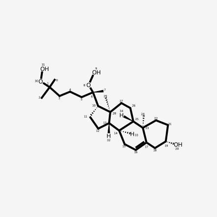 CC(C)(CCC[C@](C)(OO)[C@H]1CC[C@H]2[C@@H]3CC=C4C[C@@H](O)CC[C@]4(C)[C@H]3CC[C@@]21C)OO